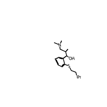 CC(C)CCSc1ccccc1C(O)C(C)CN(C)C